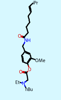 CCCCN(CC)CC(=O)Oc1ccc(CNC(=O)CCCC/C=C/C(C)C)cc1OC